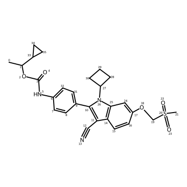 CC(OC(=O)Nc1ccc(-c2c(C#N)c3ccc(OCS(C)(=O)=O)cc3n2C2CCC2)cc1)C1CC1